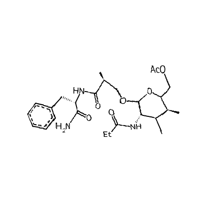 CCC(=O)N[C@@H]1C(OC[C@H](C)C(=O)N[C@@H](Cc2ccccc2)C(N)=O)OC(COC(C)=O)[C@@H](C)C1C